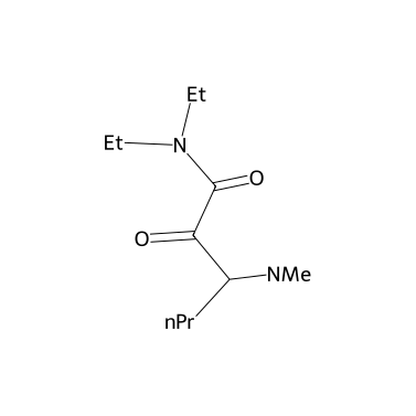 CCCC(NC)C(=O)C(=O)N(CC)CC